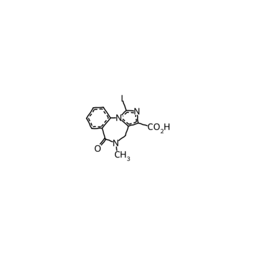 CN1Cc2c(C(=O)O)nc(I)n2-c2ccccc2C1=O